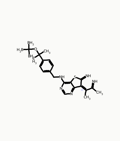 BC(B)(B)OC(C)(C)c1ccc(CNc2ncnc3c2SC(=N)/C3=C(/C)C(C)=N)cc1